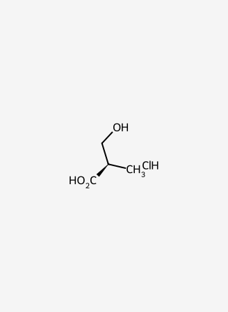 C[C@H](CO)C(=O)O.Cl